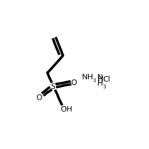 C=CCS(=O)(=O)O.Cl.N.N